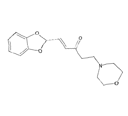 O=C(C=CC1Oc2ccccc2O1)CCN1CCOCC1